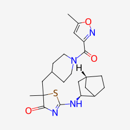 Cc1cc(C(=O)N2CCC(CC3(C)SC(N[C@H]4C[C@@H]5CCC4C5)=NC3=O)CC2)no1